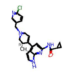 C[C@@H]1CN(Cc2ccc(Cl)nc2)CC=C1c1cc(NC(=O)C2CC2)nc2[nH]ccc12